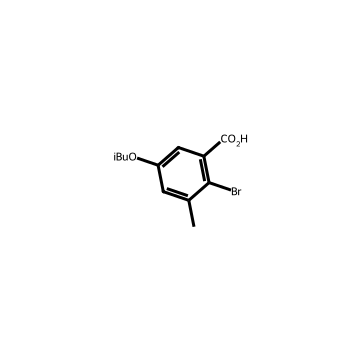 Cc1cc(OCC(C)C)cc(C(=O)O)c1Br